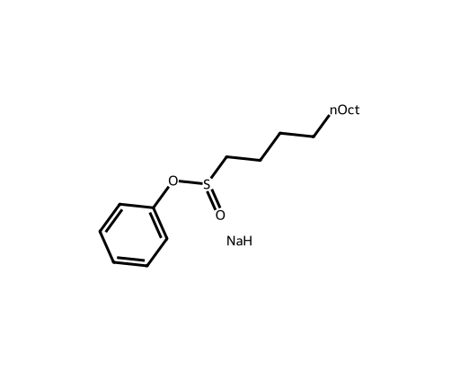 CCCCCCCCCCCCS(=O)Oc1ccccc1.[NaH]